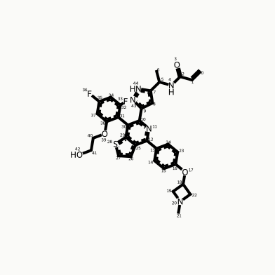 C=CC(=O)NC(C)c1cc(-c2nc(-c3ccc(OC4CN(C)C4)cc3)c3ccsc3c2-c2c(F)cc(F)cc2OCCO)n[nH]1